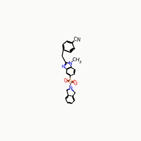 Cn1c(Cc2ccc(C#N)cc2)nc2cc(S(=O)(=O)N3Cc4ccccc4C3)ccc21